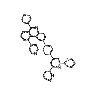 C1=C(c2cc(-c3ccccn3)nc(-c3ccccn3)c2)CCC(c2ccc3nc(-c4ccccc4)c4cccc(-c5ccncc5)c4c3c2)=C1